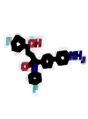 Nc1ccc(-c2ccc(C3C(CC[C@H](O)c4ccc(F)cc4)C(=O)N3c3ccc(F)cc3)cc2)cc1